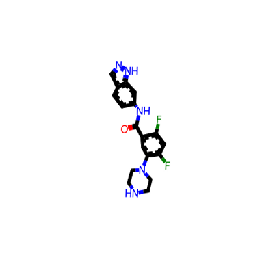 O=C(Nc1ccc2cn[nH]c2c1)c1cc(N2CCNCC2)c(F)cc1F